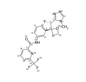 Cn1cnnc1[C@@H](F)[C@@]1(c2cccc(NC(=O)c3cccc(C(F)(F)F)n3)c2)CCO1